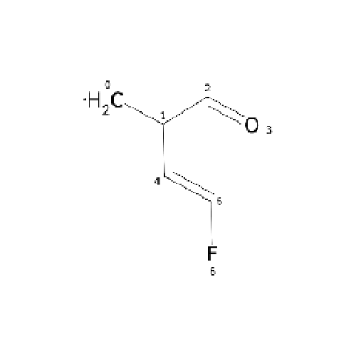 [CH2]C(C=O)C=CF